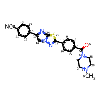 CN1CCN(C(=O)c2ccc(-c3nn4cc(-c5ccc(C#N)cc5)nc4s3)cc2)CC1